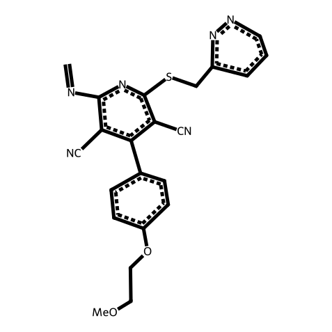 C=Nc1nc(SCc2cccnn2)c(C#N)c(-c2ccc(OCCOC)cc2)c1C#N